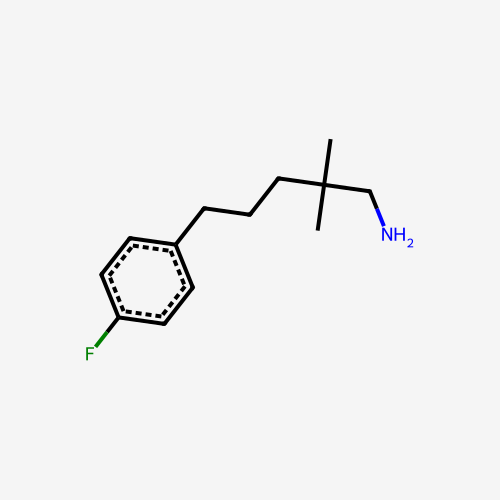 CC(C)(CN)CCCc1ccc(F)cc1